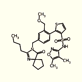 CCCCC1=NC2(CCCC2)C(=O)N1Cc1ccc(-c2sccc2S(=O)(=O)Nc2noc(C)c2C)c(COC)c1